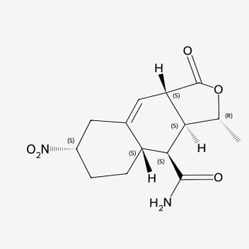 C[C@H]1OC(=O)[C@H]2C=C3C[C@@H]([N+](=O)[O-])CC[C@H]3[C@H](C(N)=O)[C@@H]21